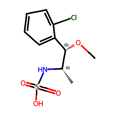 CO[C@@H](c1ccccc1Cl)[C@H](C)NS(=O)(=O)O